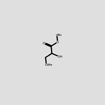 CCCCOC(=O)C(O)COC